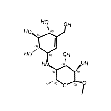 CO[C@H]1O[C@H](C)[C@@H](N[C@@H]2C=C(CO)[C@@H](O)[C@H](O)[C@H]2O)[C@H](O)[C@H]1O